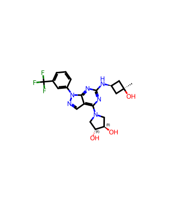 C[C@]1(O)C[C@@H](Nc2nc(N3C[C@@H](O)[C@H](O)C3)c3cnn(-c4cccc(C(F)(F)F)c4)c3n2)C1